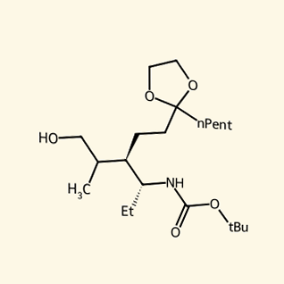 CCCCCC1(CC[C@H](C(C)CO)[C@@H](CC)NC(=O)OC(C)(C)C)OCCO1